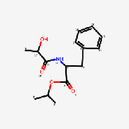 CC(C)OC(=O)C(Cc1ccccc1)NC(=O)C(C)O